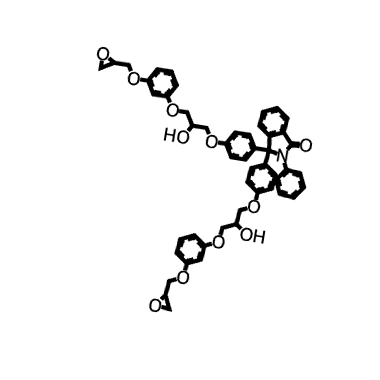 O=C1c2ccccc2C(c2ccc(OCC(O)COc3cccc(OCC4CO4)c3)cc2)(c2ccc(OCC(O)COc3cccc(OCC4CO4)c3)cc2)N1c1ccccc1